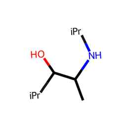 CC(C)NC(C)C(O)C(C)C